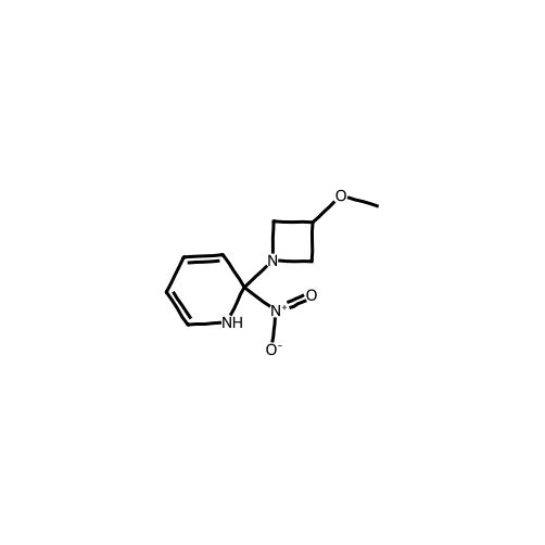 COC1CN(C2([N+](=O)[O-])C=CC=CN2)C1